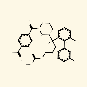 COC(=O)NCCC[C@@](O)(c1cccc(F)c1-c1cccc(C)c1)[C@@H]1CCCN(C(=O)c2ccc(C(=N)N)cc2)C1